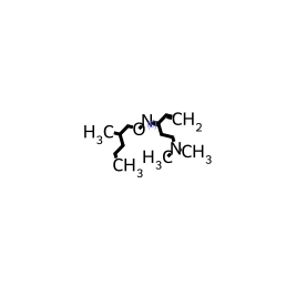 C=C/C(CCN(C)C)=N/OCC(C)CCC